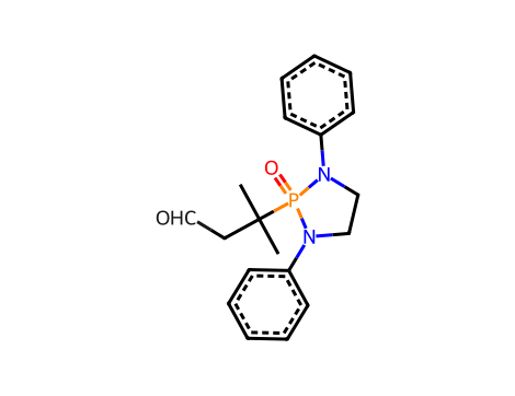 CC(C)(CC=O)P1(=O)N(c2ccccc2)CCN1c1ccccc1